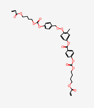 C=CC(=O)OCCCCOC(=O)Oc1ccc(COOc2ccc(OC(=O)c3ccc(OC(=O)OCCCCOC(=O)C=C)cc3)cc2C)cc1